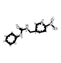 CC[S+]([O-])c1ccc(CNC(=O)Oc2ccccc2)cn1